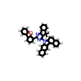 CC1(C)c2ccccc2-c2nc(-c3cccc4c3oc3ccccc34)nc(-n3c4cc5ccccc5cc4c4c5ccccc5ccc43)c21